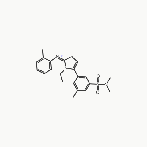 CCn1c(-c2cc(C)cc(S(=O)(=O)N(C)C)c2)cs/c1=N/c1ccccc1C